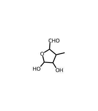 CC1C(C=O)OC(O)C1O